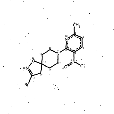 Cc1ccc([N+](=O)[O-])c(N2CCC3(CC2)CC(Br)=NO3)n1